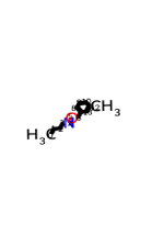 CCCC=NOCc1cccc(C)c1